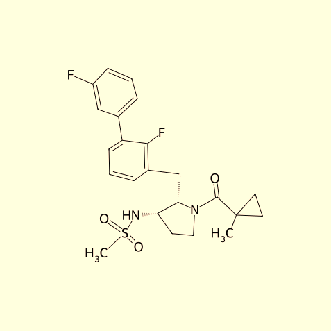 CC1(C(=O)N2CC[C@H](NS(C)(=O)=O)[C@@H]2Cc2cccc(-c3cccc(F)c3)c2F)CC1